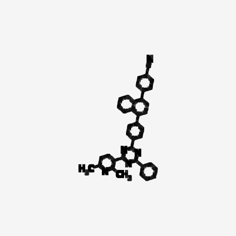 Cc1ccc(-c2nc(-c3ccccc3)nc(-c3ccc(-c4ccc(-c5ccc(C#N)cc5)c5ccccc45)cc3)n2)c(C)n1